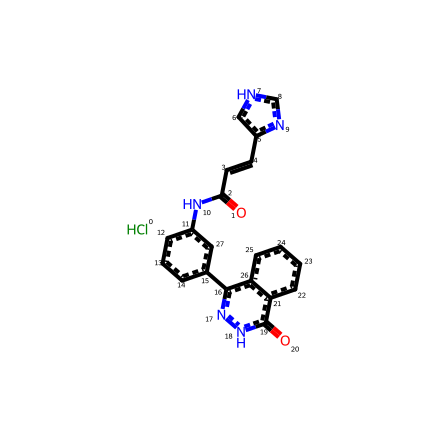 Cl.O=C(C=Cc1c[nH]cn1)Nc1cccc(-c2n[nH]c(=O)c3ccccc23)c1